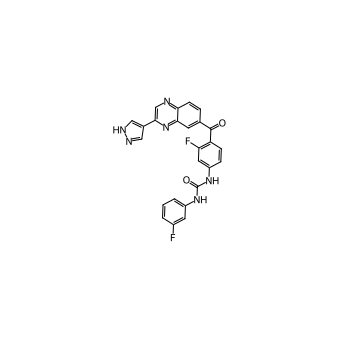 O=C(Nc1cccc(F)c1)Nc1ccc(C(=O)c2ccc3ncc(-c4cn[nH]c4)nc3c2)c(F)c1